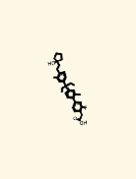 CCC(CC)(c1ccc(CCC2(O)CCCC2)c(C)c1)c1ccc(-c2ccc(CC(=O)O)c(F)c2)c(C)c1